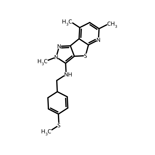 CSC1=CCC(CNc2c3sc4nc(C)cc(C)c4c3nn2C)C=C1